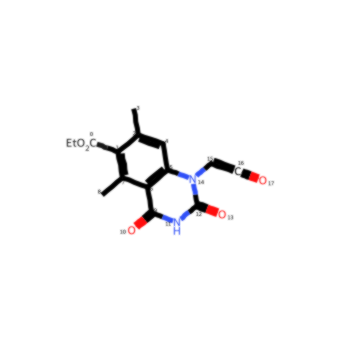 CCOC(=O)c1c(C)cc2c(c1C)c(=O)[nH]c(=O)n2C=C=O